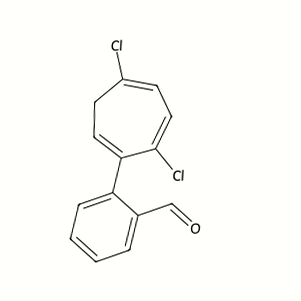 O=Cc1ccccc1C1=CCC(Cl)=CC=C1Cl